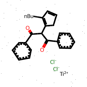 CCCCC1=C(C(C(=O)c2ccccc2)C(=O)c2ccccc2)CC=C1.[Cl-].[Cl-].[Ti+2]